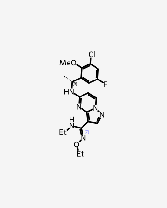 CCN/C(=N\OCC)c1cnn2ccc(N[C@H](C)c3cc(F)cc(Cl)c3OC)nc12